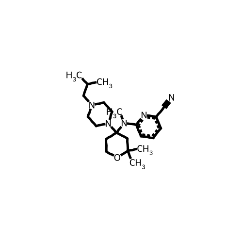 CC(C)CN1CCN(C2(N(C)c3cccc(C#N)n3)CCOC(C)(C)C2)CC1